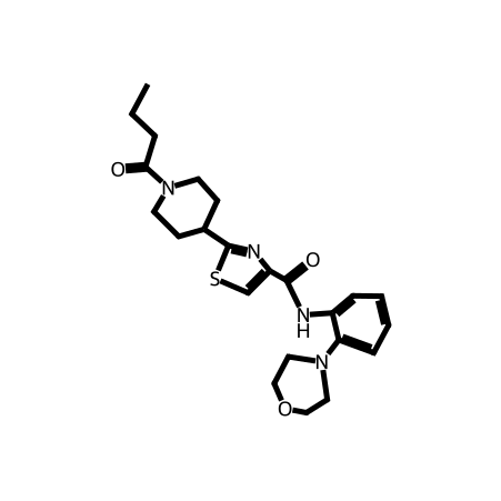 CCCC(=O)N1CCC(c2nc(C(=O)Nc3ccccc3N3CCOCC3)cs2)CC1